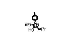 CCCc1c(O)c(CC(C)C)nn1-c1ccc(C)cc1